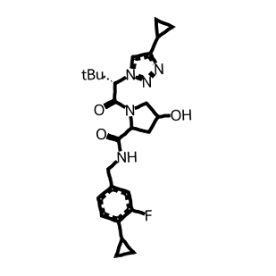 CC(C)(C)[C@@H](C(=O)N1CC(O)CC1C(=O)NCc1ccc(C2CC2)c(F)c1)n1cc(C2CC2)nn1